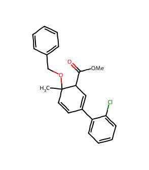 COC(=O)C1C=C(c2ccccc2Cl)C=CC1(C)OCc1ccccc1